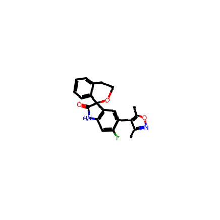 Cc1noc(C)c1-c1cc2c(cc1F)NC(=O)C21OCCc2ccccc21